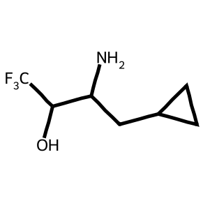 NC(CC1CC1)C(O)C(F)(F)F